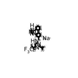 FC(F)(F)C(F)(F)c1cc(NCc2ccc(-c3ccccc3-c3nnn[nH]3)cc2)nc(C2CC2)n1.[Na]